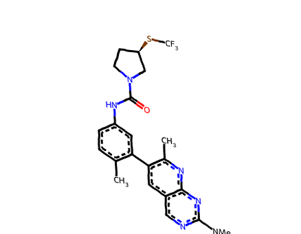 CNc1ncc2cc(-c3cc(NC(=O)N4CC[C@@H](SC(F)(F)F)C4)ccc3C)c(C)nc2n1